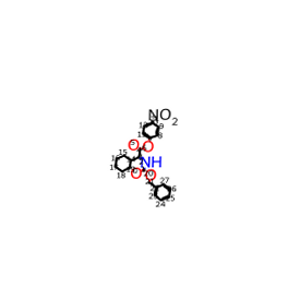 O=C(N[C@H](C(=O)Oc1ccc([N+](=O)[O-])cc1)C1CCCCC1)OCc1ccccc1